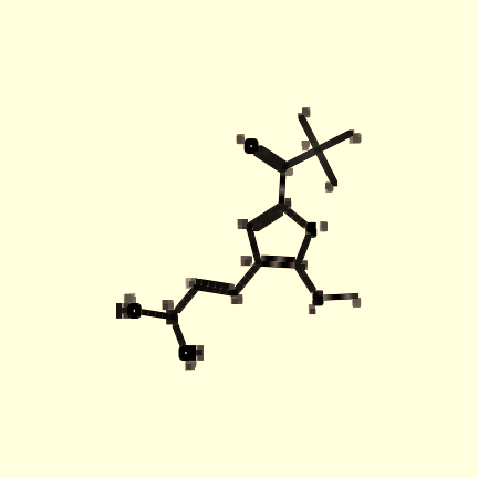 CSc1sc(C(=O)C(C)(C)C)cc1/C=C/B(O)O